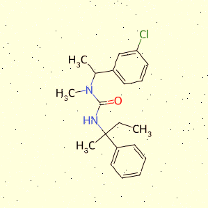 CCC(C)(NC(=O)N(C)C(C)c1cccc(Cl)c1)c1ccccc1